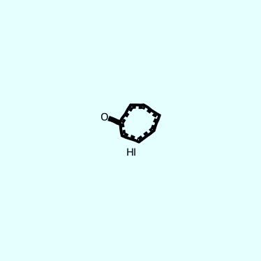 I.O=c1cccccc1